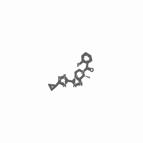 C[C@@H]1c2nnc(-c3nc(C4CC4)ns3)n2CCN1C(=O)c1ccccc1F